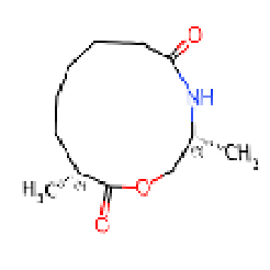 C[C@@H]1COC(=O)[C@H](C)CCCCCC(=O)N1